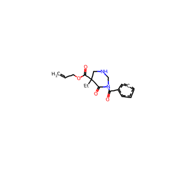 C=CCOC(=O)C1(CC)CNCN(C(=O)c2ccccc2)C1=O